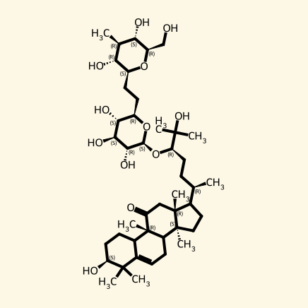 C[C@@H]1[C@@H](O)[C@H](CC[C@H]2O[C@@H](O[C@H](CC[C@@H](C)C3CC[C@@]4(C)C5CC=C6C(CC[C@H](O)C6(C)C)[C@]5(C)C(=O)C[C@]34C)C(C)(C)O)[C@H](O)[C@@H](O)[C@@H]2O)O[C@H](CO)[C@H]1O